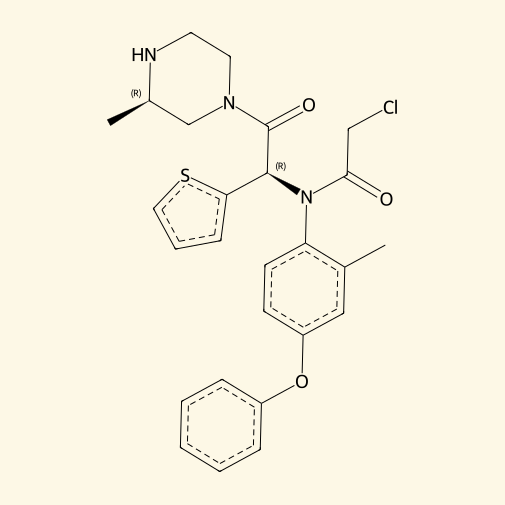 Cc1cc(Oc2ccccc2)ccc1N(C(=O)CCl)[C@H](C(=O)N1CCN[C@H](C)C1)c1cccs1